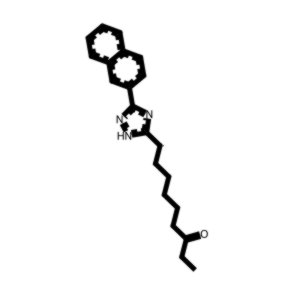 CCC(=O)CCCCC[CH]c1nc(-c2ccc3ccccc3c2)n[nH]1